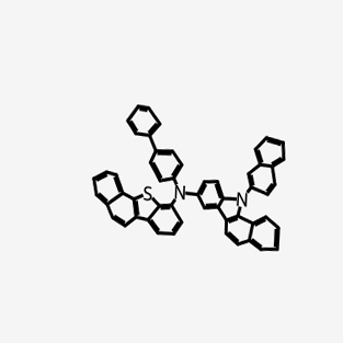 c1ccc(-c2ccc(N(c3ccc4c(c3)c3ccc5ccccc5c3n4-c3ccc4ccccc4c3)c3cccc4c3sc3c5ccccc5ccc43)cc2)cc1